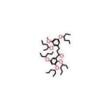 CCCC(CC)Oc1cc(CCC(=O)c2cc(OC(CC)CCC)cc(OC(CC)CCC)c2OC(CC)CCC)c(OC(CC)CCC)c(OC)c1